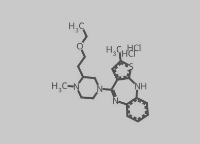 CCOCCC1CN(C2=Nc3ccccc3Nc3sc(C)cc32)CCN1C.Cl.Cl